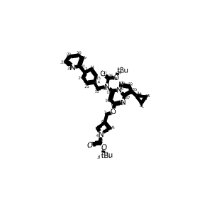 CC(C)(C)OC(=O)N1CC(COc2cc(N(Cc3ccc(-c4ccccn4)cc3)C(=O)OC(C)(C)C)n3ncc(C4CC4)c3n2)C1